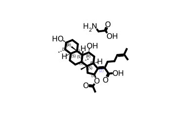 CC(=O)O[C@H]1C[C@@]2(C)[C@@H](C[C@@H](O)[C@H]3[C@@]4(C)CC[C@@H](O)[C@@H](C)[C@@H]4CC[C@@]32C)/C1=C(\CCC=C(C)C)C(=O)O.NCC(=O)O